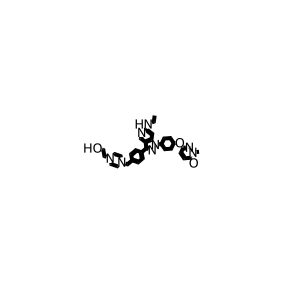 CCNc1cc2c(cn1)c(-c1ccc(CN3CCN(CCO)CC3)cc1)nn2C1CCC(Oc2ccc(=O)n(C)n2)CC1